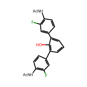 CC(=O)Nc1ccc(-c2cccc(-c3ccc(NC(C)=O)c(F)c3)c2O)cc1F